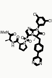 CNC(=O)[C@H](C)NC(=O)[C@@H]1CCCN1S(=O)(=O)c1cnc2n1[C@](C)(Cc1ccc(-c3cncnc3)cc1)C(=O)N2c1cc(Cl)cc(Cl)c1